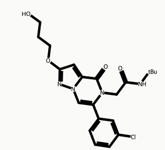 CC(C)(C)NC(=O)Cn1c(-c2cccc(Cl)c2)cn2nc(OCCCO)cc2c1=O